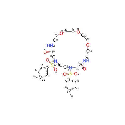 Cc1ccc(S(=O)(=O)N2CCN(S(=O)(=O)c3ccc(C)cc3)CC(=O)NCCOCCOCCOCCNC(=O)C2)cc1